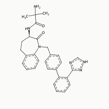 CC(C)(N)C(=O)N[C@@H]1CCc2ccccc2N(Cc2ccc(-c3ccccc3-c3nc[nH]n3)cc2)C1=O